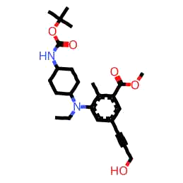 CCN(c1cc(C#CCO)cc(C(=O)OC)c1C)C1CCC(NC(=O)OC(C)(C)C)CC1